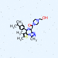 Cc1sc2c(c1C)C(c1ccc(C(C)C)cc1)=N[C@@H](CC(=O)N1CCN(CCO)CC1)c1nnc(C)n1-2